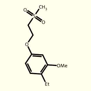 CCc1ccc(OCCS(C)(=O)=O)cc1OC